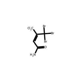 NC(=O)C=C(C(Cl)(Cl)Cl)C(Br)(Br)Br